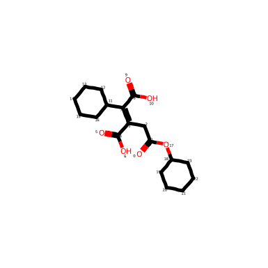 O=C(CC(C(=O)O)=C(C(=O)O)C1CCCCC1)OC1CCCCC1